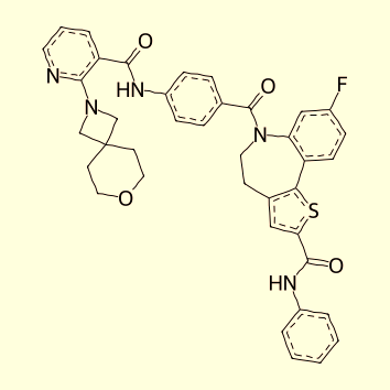 O=C(Nc1ccccc1)c1cc2c(s1)-c1ccc(F)cc1N(C(=O)c1ccc(NC(=O)c3cccnc3N3CC4(CCOCC4)C3)cc1)CC2